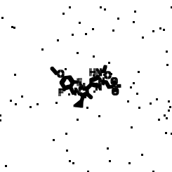 CCOc1cc(F)c(Cn2nc(-c3cc(NC(C)=O)n(CCS(C)(=O)=O)n3)c(C)c2C2CC2)c(F)c1